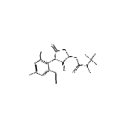 CCc1cc(C)cc(C)c1C1C(=O)CC(CC(=O)N(C)C(C)(C)C)C1=O